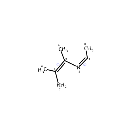 C/C=N\C(C)=C(\C)N